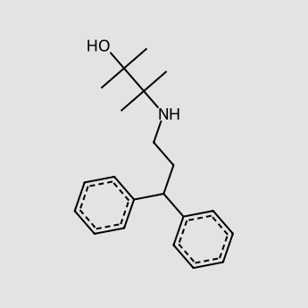 CC(C)(O)C(C)(C)NCCC(c1ccccc1)c1ccccc1